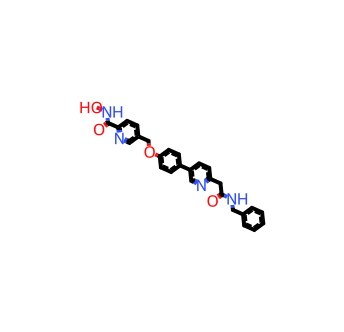 O=C(Cc1ccc(-c2ccc(OCc3ccc(C(=O)NO)nc3)cc2)cn1)NCc1ccccc1